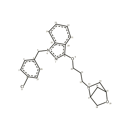 Clc1ccc(Cn2nc(OCCCN3CC4CC3CO4)c3ccccc32)cc1